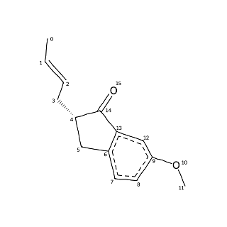 CC=CC[C@H]1Cc2ccc(OC)cc2C1=O